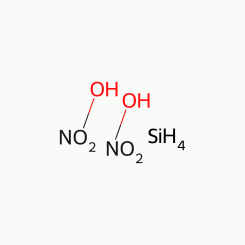 O=[N+]([O-])O.O=[N+]([O-])O.[SiH4]